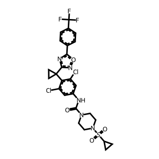 O=C(Nc1cc(Cl)c(C2(c3noc(-c4ccc(C(F)(F)F)cc4)n3)CC2)c(Cl)c1)N1CCN(S(=O)(=O)C2CC2)CC1